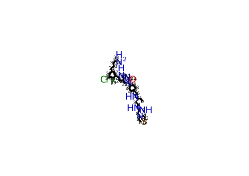 C=C[C@@H](CCNC(=N)CN1CCSCC1)NCc1ccc(-n2cc3cc(-c4cc(CCC[C@H](C)N)cc(Cl)c4F)[nH]c3nc2=O)cc1